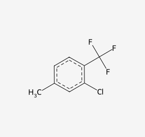 Cc1ccc(C(F)(F)F)c(Cl)c1